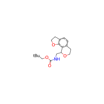 CC(C)(C)COC(=O)NCC1OCCc2ccc3c(c21)OCC3